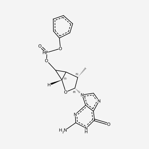 C[C@H]1C2C(O[PH](=O)Oc3ccccc3)[C@H]2O[C@H]1n1cnc2c(=O)[nH]c(N)nc21